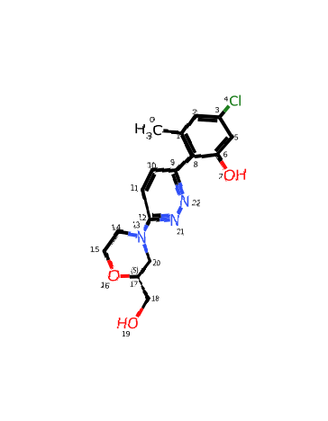 Cc1cc(Cl)cc(O)c1-c1ccc(N2CCO[C@H](CO)C2)nn1